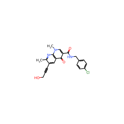 Cc1nc2c(cc1C#CCO)c(=O)c(C(=O)NCc1ccc(Cl)cc1)cn2C